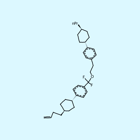 C=CCC[C@H]1CC[C@H](c2ccc(C(F)(F)OCCc3ccc([C@H]4CC[C@H](CCC)CC4)cc3)cc2)CC1